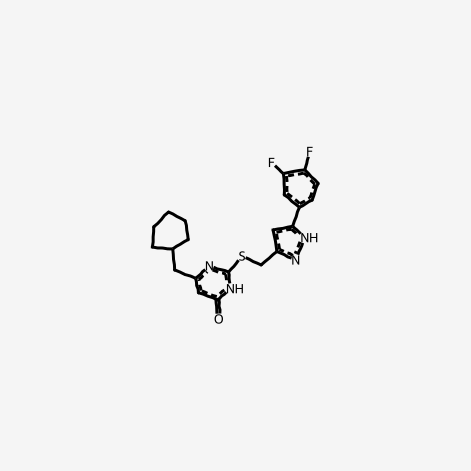 O=c1cc(CC2CCCCC2)nc(SCc2cc(-c3ccc(F)c(F)c3)[nH]n2)[nH]1